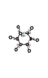 Oc1c2cc(OCc3ccccc3)cc1Cc1cc(OCc3ccccc3)cc(c1O)Cc1cc(OCc3ccccc3)cc(c1O)Cc1cc(OCc3ccccc3)cc(c1O)Cc1cc(OCc3ccccc3)cc(c1O)Cc1cc(OCc3ccccc3)cc(c1O)C2